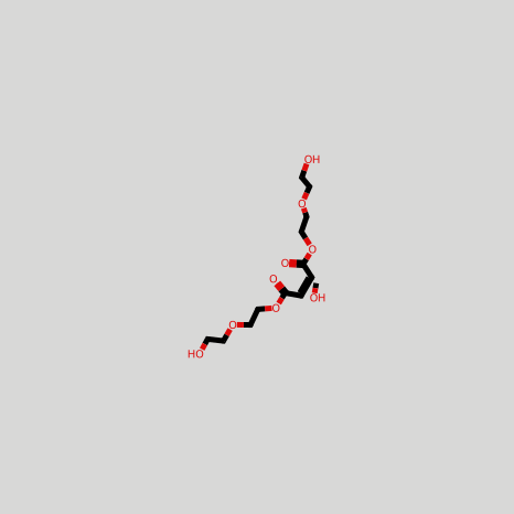 CO.O=C(/C=C\C(=O)OCCOCCO)OCCOCCO